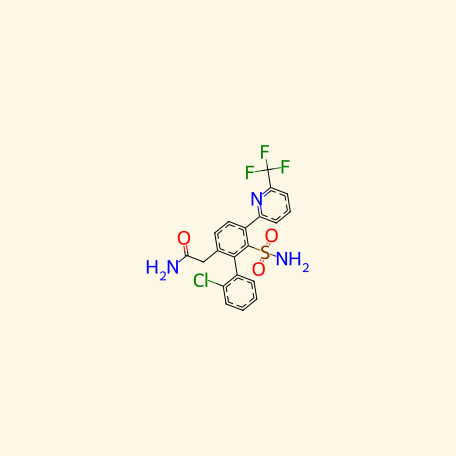 NC(=O)Cc1ccc(-c2cccc(C(F)(F)F)n2)c(S(N)(=O)=O)c1-c1ccccc1Cl